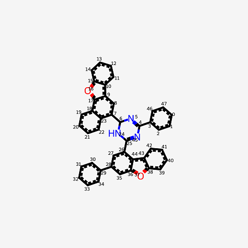 c1ccc(C2=NC(c3cc4c5ccccc5oc4c4ccccc34)NC(c3cc(-c4ccccc4)cc4oc5ccccc5c34)=N2)cc1